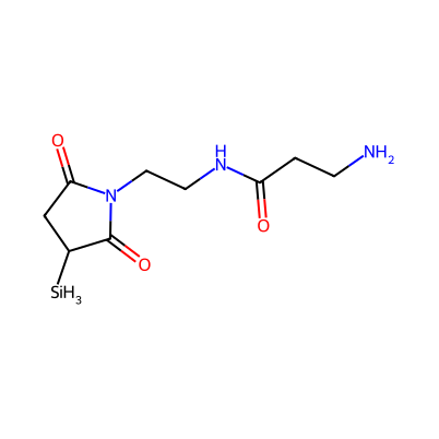 NCCC(=O)NCCN1C(=O)CC([SiH3])C1=O